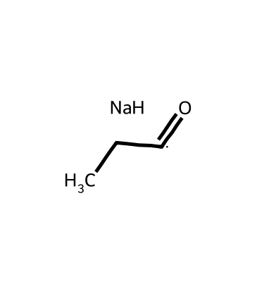 CC[C]=O.[NaH]